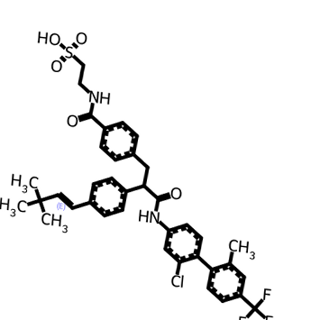 Cc1cc(C(F)(F)F)ccc1-c1ccc(NC(=O)C(Cc2ccc(C(=O)NCCS(=O)(=O)O)cc2)c2ccc(/C=C/C(C)(C)C)cc2)cc1Cl